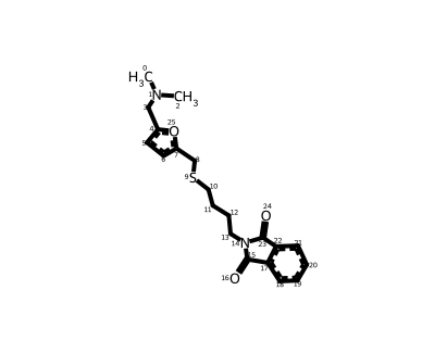 CN(C)Cc1ccc(CSCCCCN2C(=O)c3ccccc3C2=O)o1